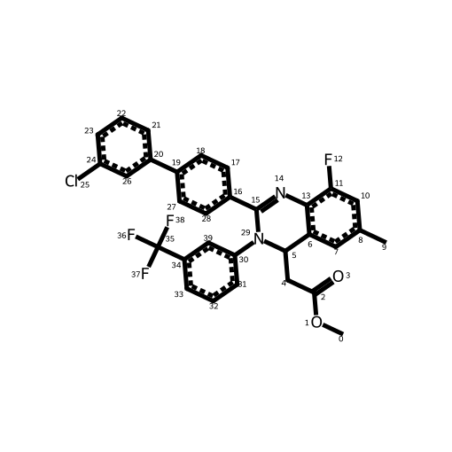 COC(=O)CC1c2cc(C)cc(F)c2N=C(c2ccc(-c3cccc(Cl)c3)cc2)N1c1cccc(C(F)(F)F)c1